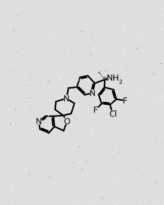 C[C@](N)(c1cc(F)c(Cl)c(F)c1)c1ccc(CN2CCC3(CC2)OCc2ccncc23)cn1